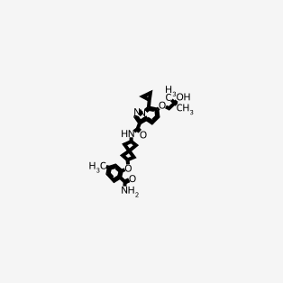 Cc1ccc(C(N)=O)c(OC2CC3(CC(NC(=O)c4cnn5c(C6CC6)c(OCC(C)(C)O)ccc45)C3)C2)c1